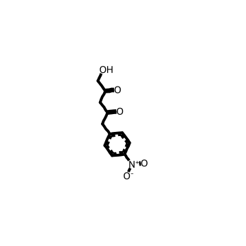 O=C(CO)CC(=O)Cc1ccc([N+](=O)[O-])cc1